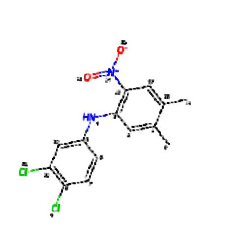 Cc1cc(Nc2ccc(Cl)c(Cl)c2)c([N+](=O)[O-])cc1C